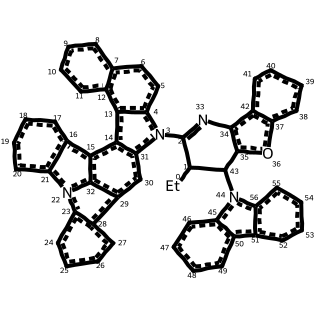 CCC1C(n2c3ccc4ccccc4c3c3c4c5ccccc5n5c6ccccc6c(cc32)c45)=Nc2c(oc3ccccc23)C1n1c2ccccc2c2ccccc21